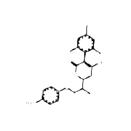 CSc1ccc(SCC(C)C2CC(O)=C(c3c(C)cc(C)cc3C)C(=O)O2)cc1